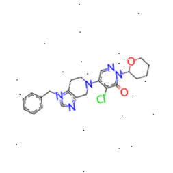 O=c1c(Cl)c(N2CCc3c(ncn3Cc3ccccc3)C2)cnn1C1CCCCO1